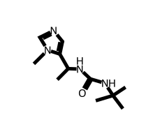 CC(NC(=O)NC(C)(C)C)c1cncn1C